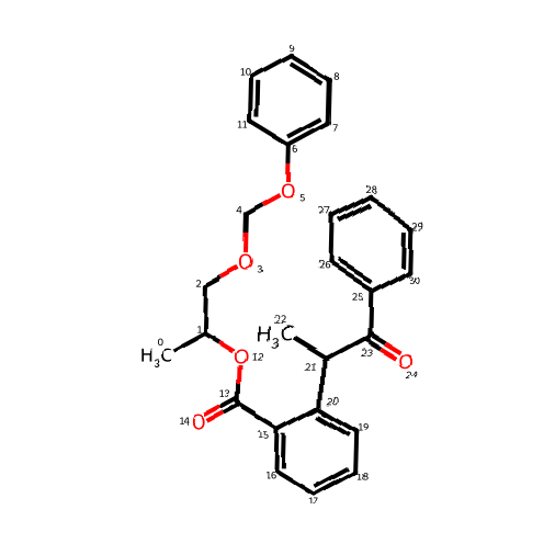 CC(COCOc1ccccc1)OC(=O)c1ccccc1C(C)C(=O)c1ccccc1